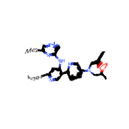 CSc1cncc(Nc2cc(NC(C)=O)ncc2-c2ccc(N3CC(C)OC(C)C3)cn2)n1